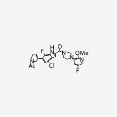 COc1ncc(F)cc1N1CCN(C(=O)c2cc3c(Cl)cc(C4=CCCN(C(C)=O)C4)c(F)c3[nH]2)CC1